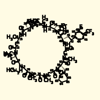 C#CC[C@@H]1NC(=O)[C@H](CC(C)C)N(C)C(=O)C[C@@H](C)NC(=O)[C@H](CC(C)C)N(C)C(=O)C(C)(C)NC(=O)[C@H](CC(C)C)N(C)C(=O)[C@H](CCc2ccc(C(F)(F)F)c(F)c2)NC(=O)CN(C)C(=O)[C@H](CC2CCCCC2)N(C)C(=O)CN(C)C(=O)CN(C)C1=O